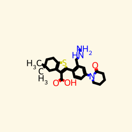 CC1(C)CCc2sc(-c3ccc(N4CCCCC4=O)cc3CNN)c(C(=O)O)c2C1